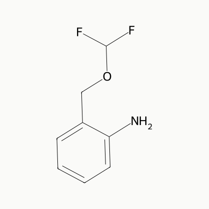 Nc1ccccc1COC(F)F